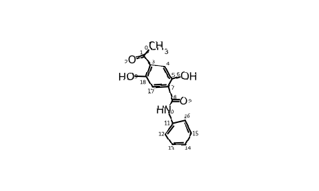 CC(=O)c1cc(O)c(C(=O)Nc2ccccc2)cc1O